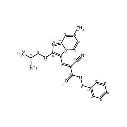 Cc1ccn2c(C=C(C#N)C(=O)OCc3ccccc3)c(OCC(C)C)nc2c1